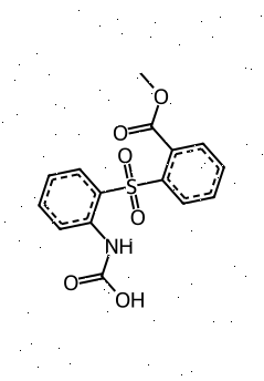 COC(=O)c1ccccc1S(=O)(=O)c1ccccc1NC(=O)O